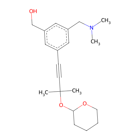 CN(C)Cc1cc(C#CC(C)(C)OC2CCCCO2)cc(CO)c1